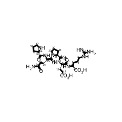 N=C(N)NCCC[C@H](NC(=O)[C@H](CCC(=O)O)NC(=O)[C@@H]1CCCN1C(=O)[C@H](CCC(N)=O)NC(=O)[C@@H]1CCCN1)C(=O)O